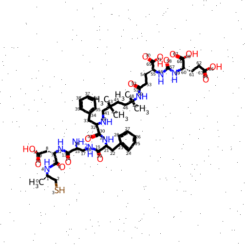 C[C@@H](CS)NC(=O)[C@H](CC(=O)O)NC(=O)[C@@H](N)CNC(=O)C(Cc1ccccc1)NC(=O)C(Cc1ccccc1)NCC(C)(C)CCC(C)(C)NC(=O)CC[C@H](NC(=O)N[C@@H](CCC(=O)O)C(=O)O)C(=O)O